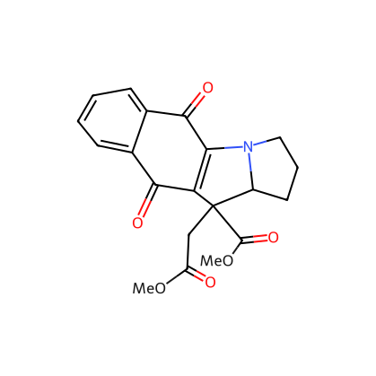 COC(=O)CC1(C(=O)OC)C2=C(C(=O)c3ccccc3C2=O)N2CCCC21